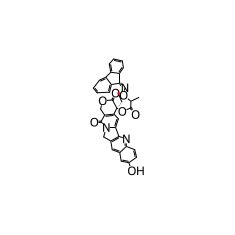 CC[C@@]1(OC(=O)C(C)ON=C2c3ccccc3-c3ccccc32)C(=O)OCc2c1cc1n(c2=O)Cc2cc3cc(O)ccc3nc2-1